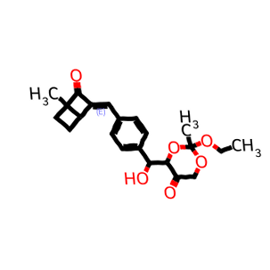 CCOC1(C)OCC(=O)C(C(O)c2ccc(/C=C3/C(=O)C4(C)CCC34)cc2)O1